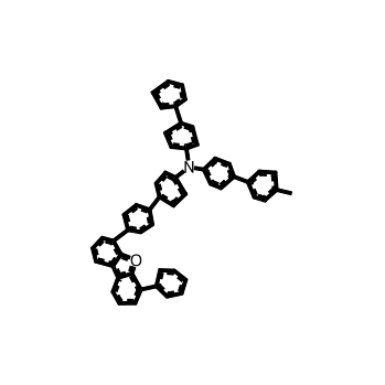 Cc1ccc(-c2ccc(N(c3ccc(-c4ccccc4)cc3)c3ccc(-c4ccc(-c5cccc6c5oc5c(-c7ccccc7)cccc56)cc4)cc3)cc2)cc1